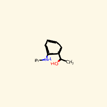 CC(C)Nc1ccccc1C(C)O